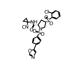 N#CC1(NC(=O)[C@@H]2C[C@@H](S(=O)(=O)c3ccccc3Cl)CN2S(=O)(=O)c2ccc(-c3cnco3)cc2)CC1